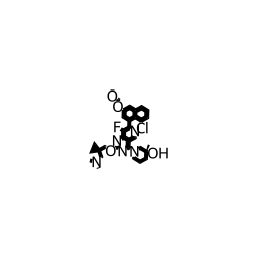 COCOc1cc(-c2ncc3c(N4CCC[C@@](C)(O)C4)nc(OCC4(CN(C)C)CC4)nc3c2F)c2c(Cl)cccc2c1